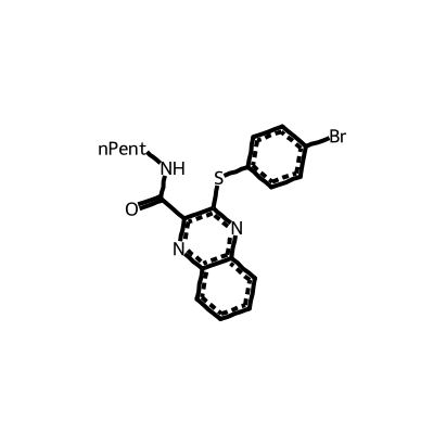 CCCCCNC(=O)c1nc2ccccc2nc1Sc1ccc(Br)cc1